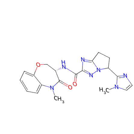 CN1C(=O)[C@@H](NC(=O)c2nc3n(n2)C(c2nccn2C)CC3)COc2ccccc21